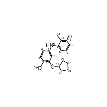 COc1ccc(Nc2cccc(C)c2C)cc1OC1CCCC1